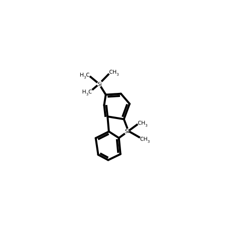 C[Si](C)(C)c1ccc2c(c1)-c1ccccc1[Si]2(C)C